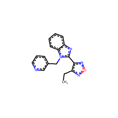 CCc1nonc1-c1nc2ccccc2n1Cc1cccnc1